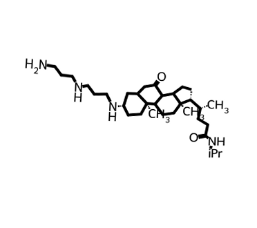 CC(C)NC(=O)CC[C@@H](C)[C@H]1CCC2C3C(=O)CC4C[C@@H](NCCCNCCCN)CC[C@]4(C)C3CC[C@@]21C